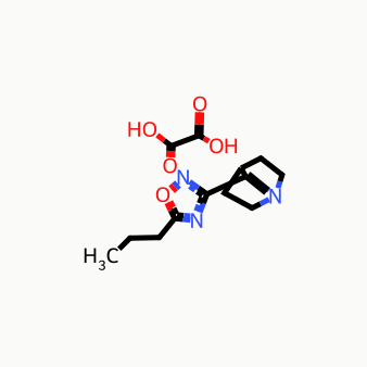 CCCc1nc(C2=CN3CCC2CC3)no1.O=C(O)C(=O)O